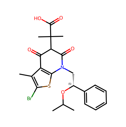 Cc1c(Br)sc2c1C(=O)C(C(C)(C)C(=O)O)C(=O)N2C[C@@H](OC(C)C)c1ccccc1